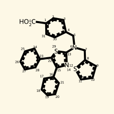 O=C(O)c1ccc(CN(Cc2cccs2)c2nc(-c3ccccc3)c(-c3ccccc3)s2)cc1